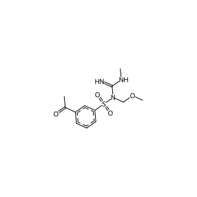 CNC(=N)N(COC)S(=O)(=O)c1cccc(C(C)=O)c1